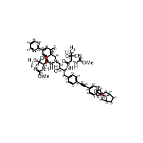 COC(=O)N[C@H](C(=O)N[C@@H](Cc1ccc(C#Cc2ccc(N3CC4CCC(C3)N4C3COC3)nc2)cc1)[C@@H](O)CN(Cc1c(F)cc(-c2ncccn2)cc1F)NC(=O)[C@@H](NC(=O)OC)C(C)(C)C(F)(F)F)C(C)(C)C(F)(F)F